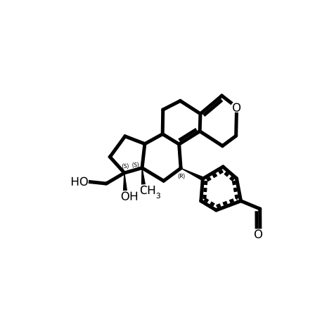 C[C@]12C[C@H](c3ccc(C=O)cc3)C3=C4CCOC=C4CCC3C1CC[C@@]2(O)CO